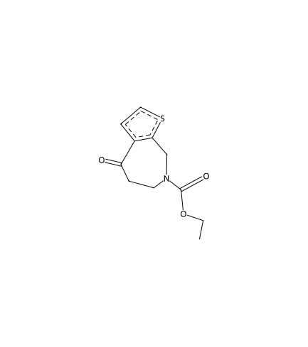 CCOC(=O)N1CCC(=O)c2ccsc2C1